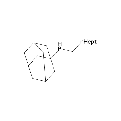 CCCCCCCCPC12CC3CC(CC(C3)C1)C2